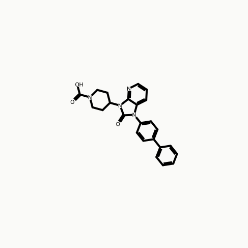 O=C(O)N1CCC(n2c(=O)n(-c3ccc(-c4ccccc4)cc3)c3cccnc32)CC1